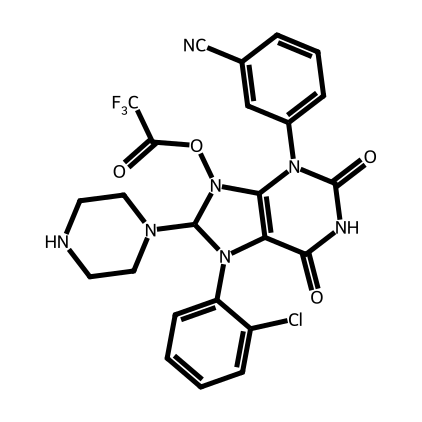 N#Cc1cccc(-n2c3c(c(=O)[nH]c2=O)N(c2ccccc2Cl)C(N2CCNCC2)N3OC(=O)C(F)(F)F)c1